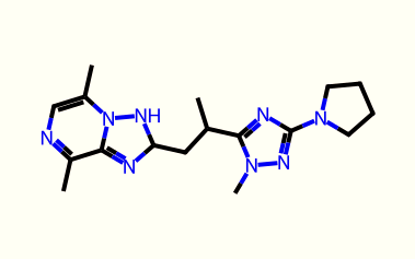 CC1=CN=C(C)C2=NC(CC(C)c3nc(N4CCCC4)nn3C)NN12